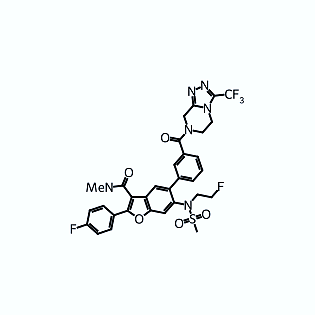 CNC(=O)c1c(-c2ccc(F)cc2)oc2cc(N(CCF)S(C)(=O)=O)c(-c3cccc(C(=O)N4CCn5c(nnc5C(F)(F)F)C4)c3)cc12